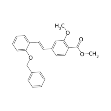 COC(=O)c1ccc(/C=C/c2ccccc2OCc2ccccc2)cc1OC